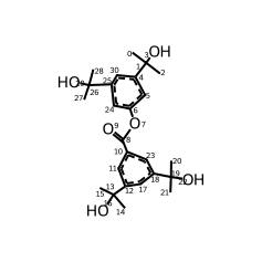 CC(C)(O)c1cc(OC(=O)c2cc(C(C)(C)O)cc(C(C)(C)O)c2)cc(C(C)(C)O)c1